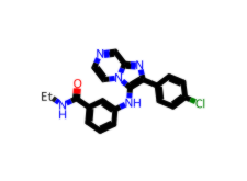 CCNC(=O)c1cccc(Nc2c(-c3ccc(Cl)cc3)nc3cnccn23)c1